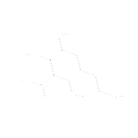 CCCCCCCCCCCCCCC(OC)C(OC)C(COC)N(C)C